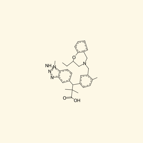 CCC1CN(Cc2cc(C(c3ccc4c(c3)nnn4C)C(C)(C)C(=O)O)ccc2C)Cc2ccccc2O1.N